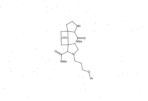 CNC(=O)C1NCCC12CC1=C2C2(CCN(CCCOC(C)C)C2C(=O)NC)C1